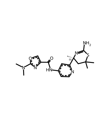 CN(C)c1nc(C(=O)Nc2ccnc([C@]3(C)CC(C)(C)SC(N)=N3)c2)co1